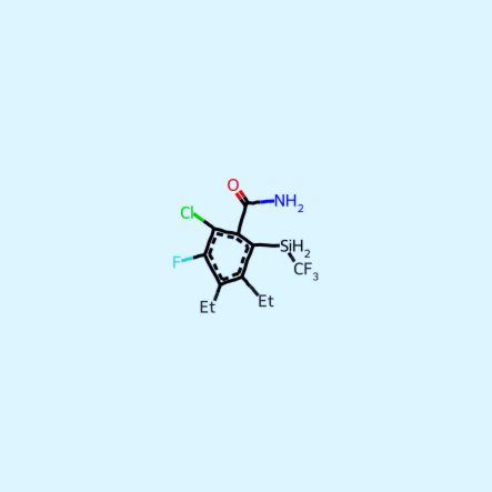 CCc1c(F)c(Cl)c(C(N)=O)c([SiH2]C(F)(F)F)c1CC